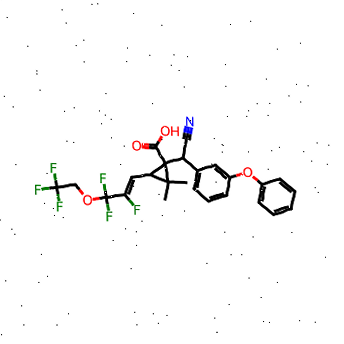 CC1(C)C(C=C(F)C(F)(F)OCC(F)(F)F)C1(C(=O)O)C(C#N)c1cccc(Oc2ccccc2)c1